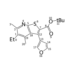 CCc1c(C)nc2sc(C(=O)OC(C)(C)C)c(-c3ccoc3)c2c1C